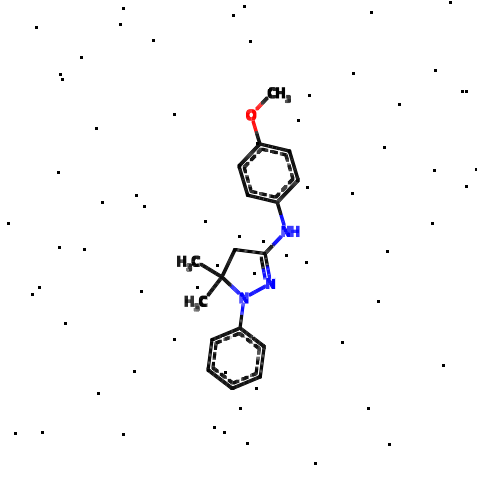 COc1ccc(NC2=NN(c3ccccc3)C(C)(C)C2)cc1